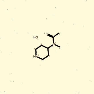 CC(=O)N(C)C1CCNCC1.Cl